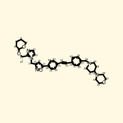 C[C@H](OC1CCCCO1)c1nccn1Cc1cc(-c2ccc(C#Cc3ccc(CN4CCC(N5CCOCC5)CC4)cc3)cc2)on1